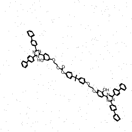 CC(C)(c1ccc(OCCOc2ccc(-c3nc(-c4ccc(-c5ccccc5)cc4)nc(-c4ccc(-c5ccccc5)cc4)n3)c(O)c2)cc1)c1ccc(OC(=O)OCCOc2ccc(-c3nc(-c4ccc(-c5ccccc5)cc4)nc(-c4ccc(-c5ccccc5)cc4)n3)c(O)c2)cc1